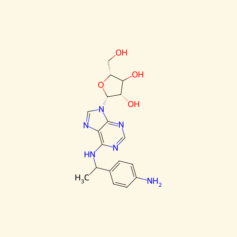 CC(Nc1ncnc2c1ncn2[C@@H]1O[C@H](CO)C(O)[C@@H]1O)c1ccc(N)cc1